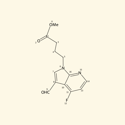 COC(=O)CCCn1cc(C=O)c2c(F)ccnc21